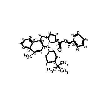 Cc1cc(O[C@H]2CC[C@H](C(C)(C)C)CC2)c(CN2CC[C@@H](C(=O)OCc3ccccc3)C2)c2ccccc12